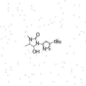 CC1C(O)N(c2cc(C(C)(C)C)sn2)C(=O)N1C